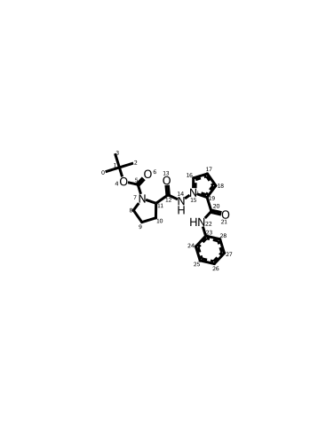 CC(C)(C)OC(=O)N1CCCC1C(=O)Nn1cccc1C(=O)Nc1ccccc1